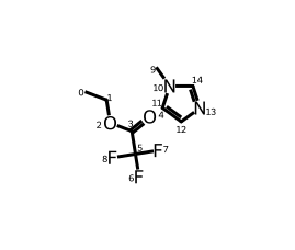 CCOC(=O)C(F)(F)F.Cn1ccnc1